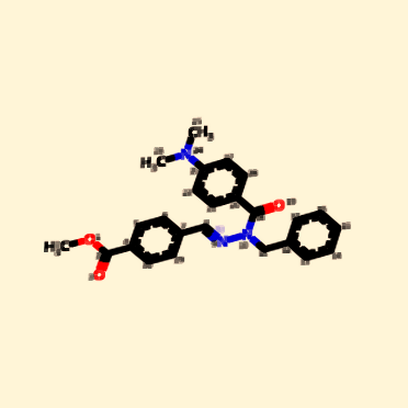 COC(=O)c1ccc(/C=N/N(Cc2ccccc2)C(=O)c2ccc(N(C)C)cc2)cc1